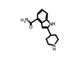 NC(=O)c1cccc2[nH]c(C3CCNCC3)cc12